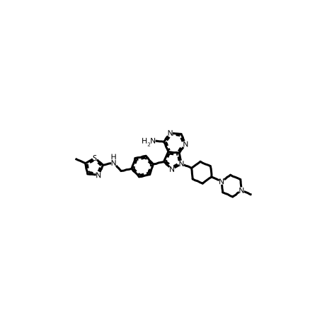 Cc1cnc(NCc2ccc(-c3nn(C4CCC(N5CCN(C)CC5)CC4)c4ncnc(N)c34)cc2)s1